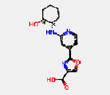 O=C(O)c1coc(-c2ccnc(N[C@H]3CCCC[C@@H]3O)c2)n1